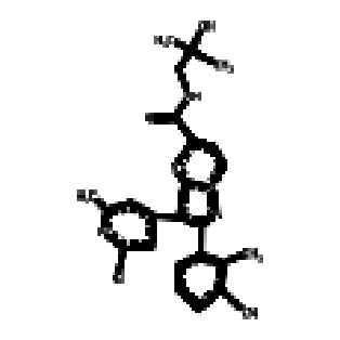 Cc1cc(-c2c(-c3cccc(C#N)c3C)nn3ccc(C(=O)NCC(C)(C)O)nc23)cc(Cl)n1